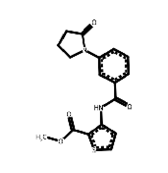 COC(=O)c1sccc1NC(=O)c1cccc(N2CCCC2=O)c1